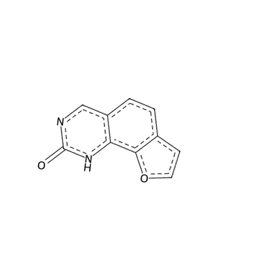 O=c1ncc2ccc3ccoc3c2[nH]1